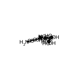 NCCOCCOCCOCCOCCn1cc(COc2c(O)cc(C(=O)O[C@@H]3Cc4c(O)cc(O)cc4O[C@@H]3c3cc(O)c(O)c(O)c3)cc2O)nn1